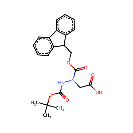 CC(C)(C)OC(=O)NN(CC(=O)O)C(=O)OCC1c2ccccc2-c2ccccc21